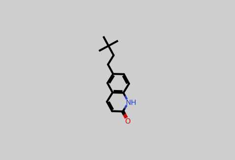 CC(C)(C)CCc1ccc2[nH]c(=O)ccc2c1